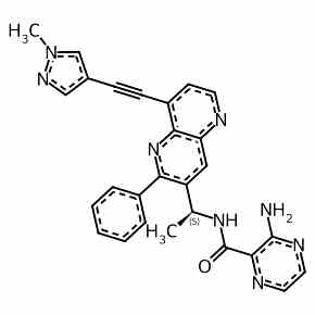 C[C@H](NC(=O)c1nccnc1N)c1cc2nccc(C#Cc3cnn(C)c3)c2nc1-c1ccccc1